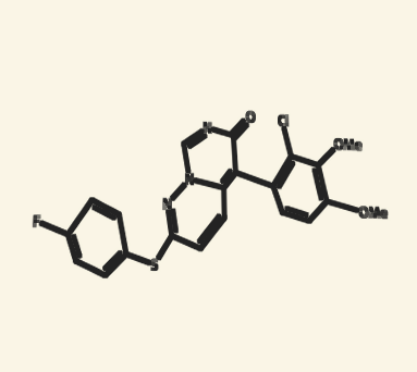 COc1ccc(-c2c(=O)ncn3nc(Sc4ccc(F)cc4)ccc23)c(Cl)c1OC